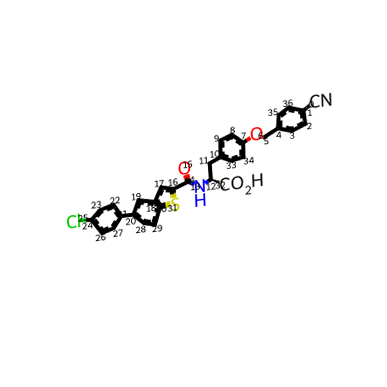 N#Cc1ccc(COc2ccc(C[C@H](NC(=O)c3cc4cc(-c5ccc(Cl)cc5)ccc4s3)C(=O)O)cc2)cc1